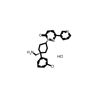 Cl.NC[C@]1(c2cccc(Cl)c2)CC[C@H](n2nc(-c3cccnc3)ccc2=O)CC1